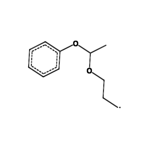 [CH2]CCOC(C)Oc1ccccc1